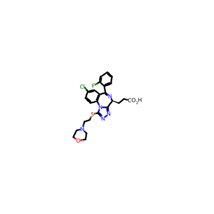 O=C(O)CC[C@@H]1N=C(c2ccccc2F)c2cc(Cl)ccc2-n2c(SCCN3CCOCC3)nnc21